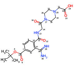 CC(C)(C)OC(=O)c1ccc(C(=O)NCC(=O)N2CCN(CC(=O)O)CC2)c(C(=N)N)c1